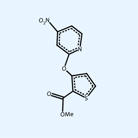 COC(=O)c1sccc1Oc1cc([N+](=O)[O-])ccn1